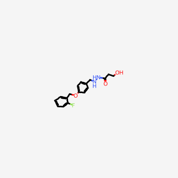 O=C(CCO)NNCc1ccc(OCc2ccccc2F)cc1